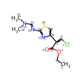 CCOC(=O)C(=CCl)c1csc(N=CN(C)C)n1